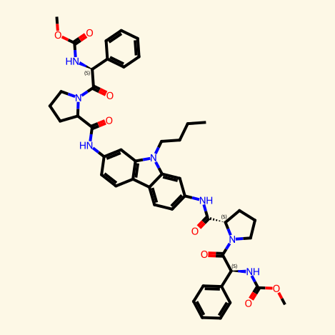 CCCCn1c2cc(NC(=O)C3CCCN3C(=O)[C@@H](NC(=O)OC)c3ccccc3)ccc2c2ccc(NC(=O)[C@@H]3CCCN3C(=O)[C@@H](NC(=O)OC)c3ccccc3)cc21